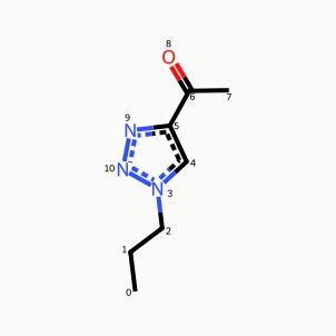 CCCn1cc(C(C)=O)nn1